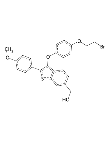 COc1ccc(-c2sc3cc(CO)ccc3c2Oc2ccc(OCCBr)cc2)cc1